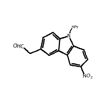 CCCn1c2ccc(CC=O)cc2c2cc([N+](=O)[O-])ccc21